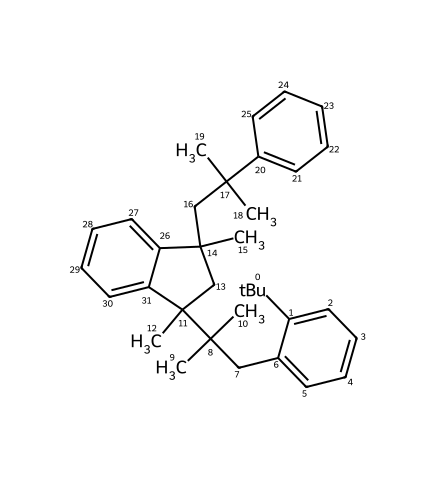 CC(C)(C)c1ccccc1CC(C)(C)C1(C)CC(C)(CC(C)(C)c2ccccc2)c2ccccc21